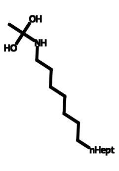 CCCCCCCCCCCCCCNC(C)(O)O